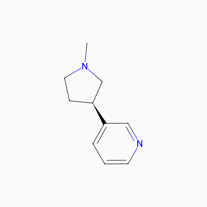 CN1CC[C@H](c2cccnc2)C1